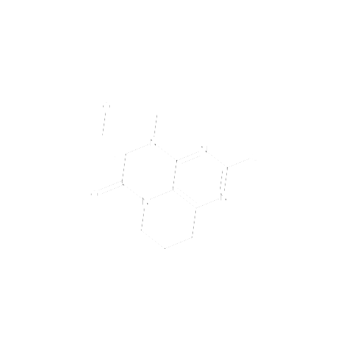 CN1c2nc(Cl)nc3c2N(CCC3)C(=O)[C@@H]1CO